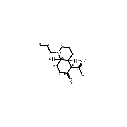 CCCN1CCC[C@H]2C(C(C)=O)C(=O)CC[C@@H]21